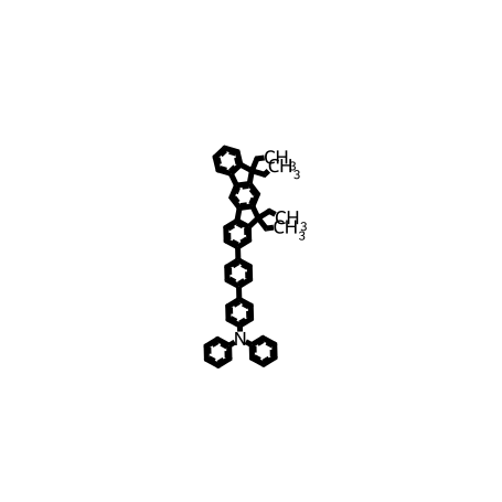 CCC1(CC)c2ccccc2-c2cc3c(cc21)C(CC)(CC)c1cc(-c2ccc(-c4ccc(N(c5ccccc5)c5ccccc5)cc4)cc2)ccc1-3